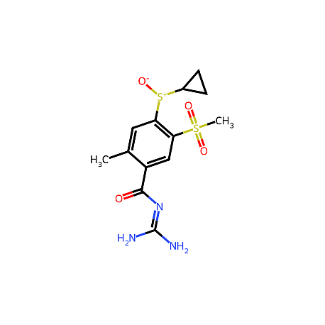 Cc1cc([S+]([O-])C2CC2)c(S(C)(=O)=O)cc1C(=O)N=C(N)N